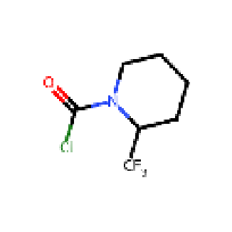 O=C(Cl)N1CCCCC1C(F)(F)F